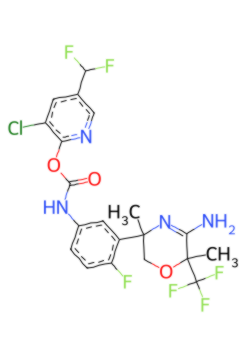 CC1(c2cc(NC(=O)Oc3ncc(C(F)F)cc3Cl)ccc2F)COC(C)(C(F)(F)F)C(N)=N1